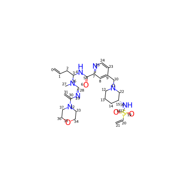 C=CCC(NC(=O)c1cc(CN2CCC[C@@H](NS(=O)(=O)C=C)C2)ccn1)N(C)/C=N\C(=C)N1CCOCC1